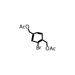 CC(=O)OCc1ccc(COC(C)=O)c(Br)c1